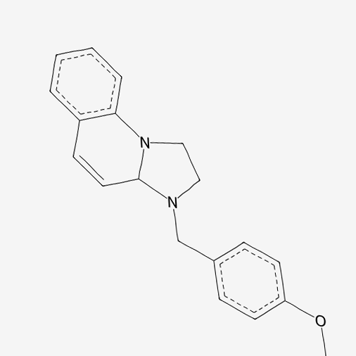 COc1ccc(CN2CCN3c4ccccc4C=CC23)cc1